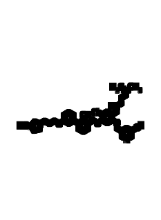 Cc1c(COc2cc(OCc3cncc(C#N)c3)c(CNCCC[As](C)C)cc2Cl)cccc1-c1cccc(OCCCN2CC[C@@H](O)C2)c1